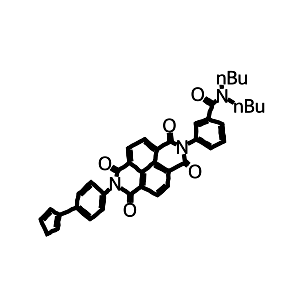 CCCCN(CCCC)C(=O)c1cccc(N2C(=O)c3ccc4c5c(ccc(c35)C2=O)C(=O)N(c2ccc(C3=CCC=C3)cc2)C4=O)c1